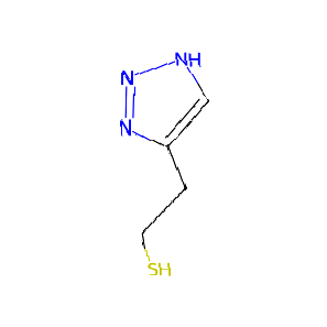 SCCc1c[nH]nn1